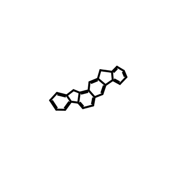 c1ccc2c(c1)Cc1cc3c4c(ccc3cc1-2)-c1ccccc1C4